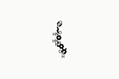 Cc1cc[nH]c(=O)c1-c1ccc2nc(Nc3cccc(NC(=O)/C=C/CN4CCOCC4)c3)ncc2c1